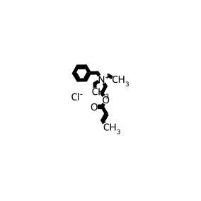 CC=CC(=O)OCC[N+](CC)(CC)Cc1ccccc1.[Cl-]